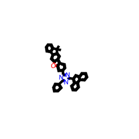 CC1(C)c2ccccc2-c2cc3oc4cc(-c5nc(-c6ccccc6)nc(-c6cc7ccccc7c7ccccc67)n5)ccc4c3cc21